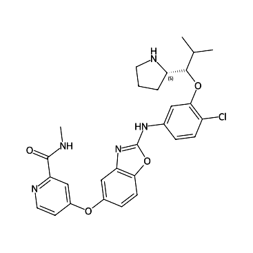 CNC(=O)c1cc(Oc2ccc3oc(Nc4ccc(Cl)c(OC(C(C)C)[C@@H]5CCCN5)c4)nc3c2)ccn1